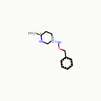 CCOC(=O)[C@H]1CC[Si@H](NOCc2ccccc2)CN1